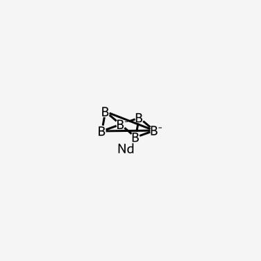 B12B3[B-]14B1B4[B-]231.[Nd]